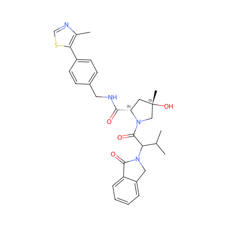 Cc1ncsc1-c1ccc(CNC(=O)[C@@H]2C[C@](C)(O)CN2C(=O)C(C(C)C)N2Cc3ccccc3C2=O)cc1